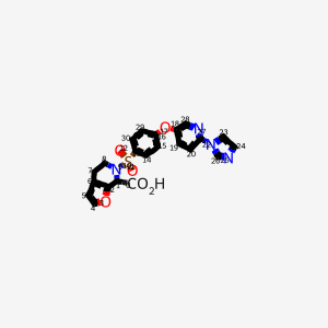 O=C(O)C1c2occc2CCN1S(=O)(=O)c1ccc(Oc2ccc(-n3ccnc3)nc2)cc1